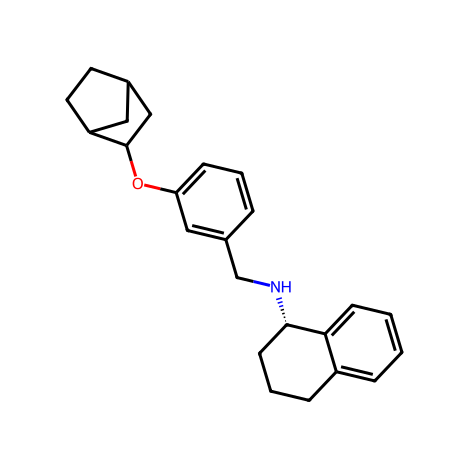 c1cc(CN[C@H]2CCCc3ccccc32)cc(OC2CC3CCC2C3)c1